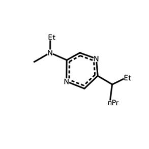 CCCC(CC)c1cnc(N(C)CC)cn1